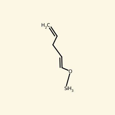 C=CCC=CO[SiH3]